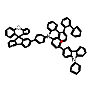 c1ccc(-c2ccccc2-c2ccccc2-c2ccccc2N(c2ccc(-c3ccc4c(c3)C3(c5ccccc5Oc5ccccc53)c3ccccc3-4)cc2)c2ccc(-c3ccc4c(c3)c3ccccc3n4-c3ccccc3)cc2)cc1